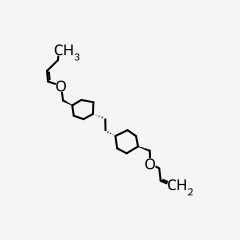 C=CCOC[C@H]1CC[C@H](CC[C@H]2CC[C@H](CO/C=C\CC)CC2)CC1